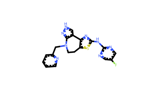 Fc1cnc(Nc2nc3c(s2)CCN(Cc2ccccn2)c2n[nH]cc2-3)nc1